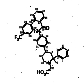 CC1(c2ccccc2)CC(c2ccc(NC(=O)c3ccccc3-c3ccc(C(F)(F)F)cc3)cc2)CCN1CC(=O)O